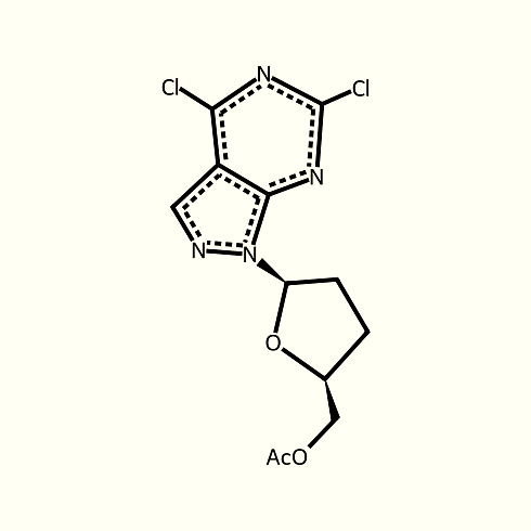 CC(=O)OC[C@@H]1CC[C@H](n2ncc3c(Cl)nc(Cl)nc32)O1